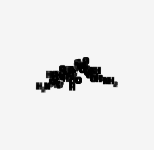 NCCCC[C@H](NC(=O)CNC(=O)[C@@H]1CCCN1C(=O)[C@H](CCC(=O)O)NC(=O)CNC(=O)[C@H](CO)NC(=O)[C@@H]1CCCN1C(=O)CN)C(=O)O